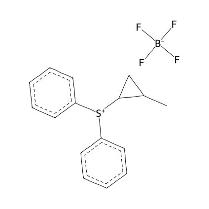 CC1CC1[S+](c1ccccc1)c1ccccc1.F[B-](F)(F)F